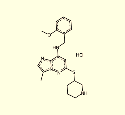 COc1ccccc1CNc1cc(SC2CCCNC2)nn2c(C)cnc12.Cl